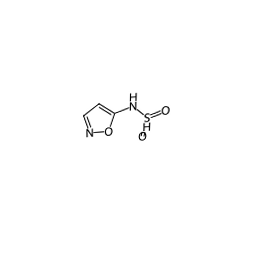 O=[SH](=O)Nc1ccno1